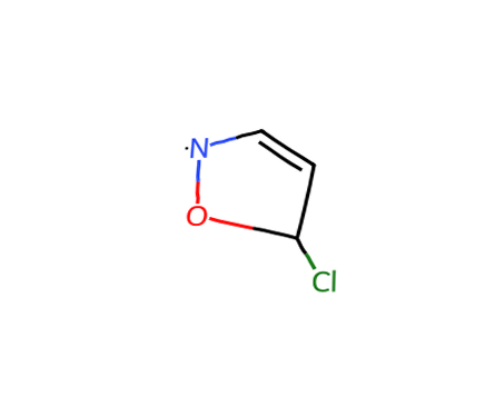 ClC1C=C[N]O1